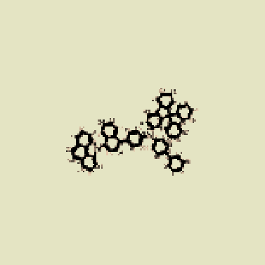 c1ccc(-c2ccc(N(c3ccc(-c4ccc(-n5c6cccc7ccc8cccc5c8c76)c5ccccc45)cc3)c3ccc4c(c3)C(c3ccccc3)(c3ccccc3)c3ccccc3-4)cc2)cc1